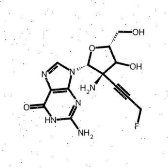 Nc1nc2c(ncn2[C@@H]2O[C@H](CO)C(O)[C@]2(N)C#CCF)c(=O)[nH]1